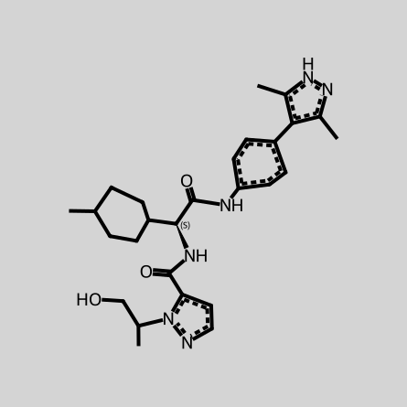 Cc1n[nH]c(C)c1-c1ccc(NC(=O)[C@@H](NC(=O)c2ccnn2C(C)CO)C2CCC(C)CC2)cc1